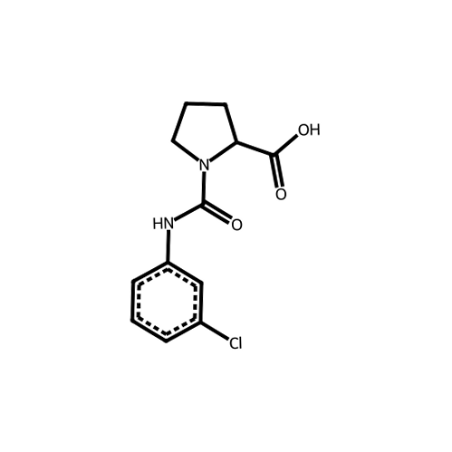 O=C(O)C1CCCN1C(=O)Nc1cccc(Cl)c1